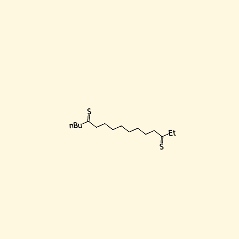 CCCCC(=S)CCCCCCCCC(=S)CC